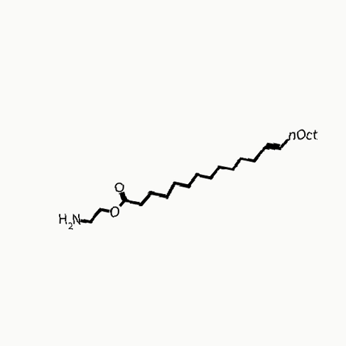 CCCCCCCC/C=C/CCCCCCCCCCCC(=O)OCCN